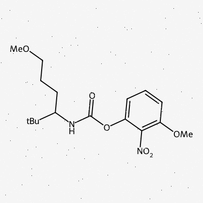 COCCCC(NC(=O)Oc1cccc(OC)c1[N+](=O)[O-])C(C)(C)C